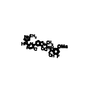 COc1cc(F)cc([C@@H](CO)NC(=O)[C@@H](C)N2Cc3ccc(-c4nc(Nc5cnn(C)c5)ncc4Cl)cc3C2=O)c1